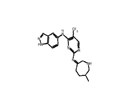 CC1CC/C(=N/c2ncc(C(F)(F)F)c(Nc3ccc4[nH]ncc4c3)n2)CNC1